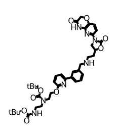 CC(C)(C)OC(=O)NCCN(CCOc1cccc(-c2cccc(CNCCC3CN(c4ccc5c(n4)NC(=O)CO5)C(=O)O3)c2)n1)C(=O)OC(C)(C)C